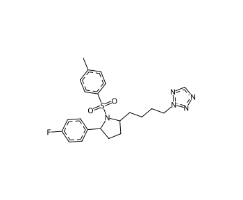 Cc1ccc(S(=O)(=O)N2C(CCCCn3ncnn3)CCC2c2ccc(F)cc2)cc1